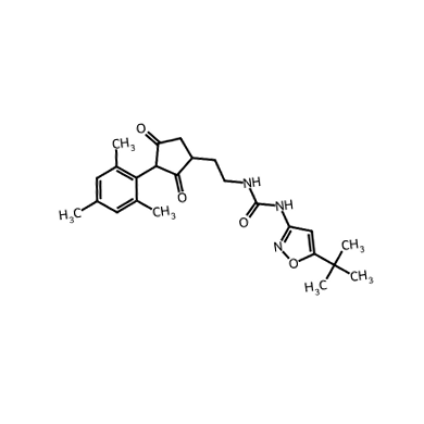 Cc1cc(C)c(C2C(=O)CC(CCNC(=O)Nc3cc(C(C)(C)C)on3)C2=O)c(C)c1